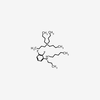 CCCCCC[PH+](CCC)c1cccc(F)c1F.CCCC[B-](CCCC)(CCCC)CCCC